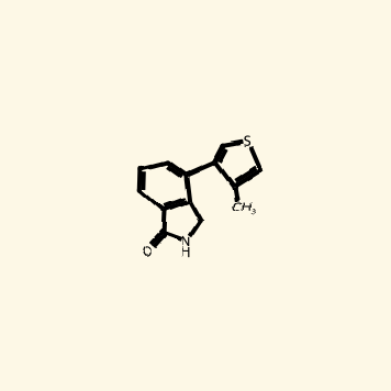 Cc1cscc1-c1cccc2c1CNC2=O